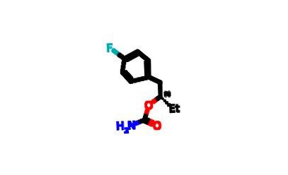 CC[C@@H](Cc1ccc(F)cc1)OC(N)=O